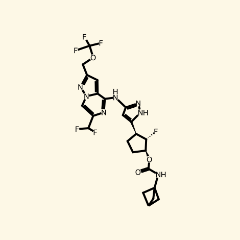 O=C(NC12CC(C1)C2)O[C@H]1CC[C@@H](c2cc(Nc3nc(C(F)F)cn4nc(COC(F)(F)F)cc34)n[nH]2)[C@@H]1F